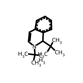 CC(C)(C)C1c2ccccc2C=CN1C(C)(C)C